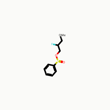 COCC(F)COS(=O)c1ccccc1